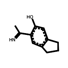 CC(=N)c1cc2c(cc1O)CCC2